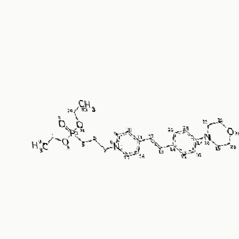 CCOP(=O)(CCC[n+]1ccc(C=Cc2ccc(N3CCOCC3)cc2)cc1)OCC